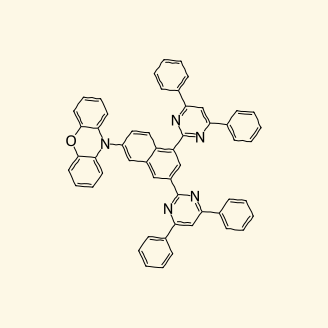 c1ccc(-c2cc(-c3ccccc3)nc(-c3cc(-c4nc(-c5ccccc5)cc(-c5ccccc5)n4)c4ccc(N5c6ccccc6Oc6ccccc65)cc4c3)n2)cc1